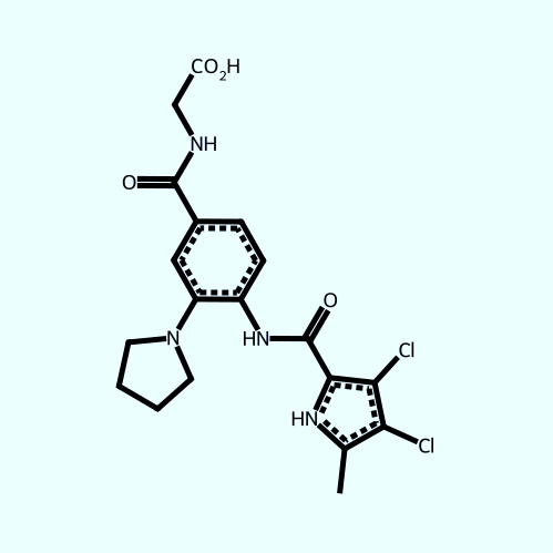 Cc1[nH]c(C(=O)Nc2ccc(C(=O)NCC(=O)O)cc2N2CCCC2)c(Cl)c1Cl